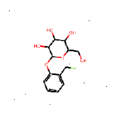 OCC1OC(Oc2ccccc2CF)C(O)C(O)C1O